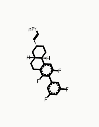 CCC/C=C/[C@@H]1CC[C@@H]2c3cc(F)c(-c4cc(F)cc(F)c4)c(F)c3CC[C@@H]2C1